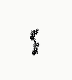 O=C1CCC(N2Cc3c(OCCCN4CCCC4C(=O)N4CCC5(CC4)COc4ccccc45)cccc3C2=O)C(=O)N1